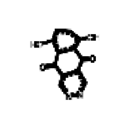 O=C1c2cnncc2C(=O)c2c(O)ccc(O)c21